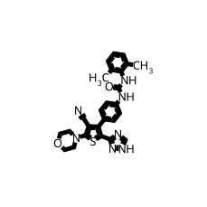 Cc1cccc(C)c1NC(=O)Nc1ccc(-c2c(-c3nc[nH]n3)sc(N3CCOCC3)c2C#N)cc1